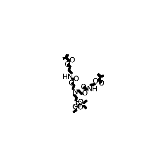 C=C(C)C(=O)OCCCNC(=O)OCCN(CCC[Si](OCC)(OCC)OCC)CCOC(=O)NCCOC(=O)C(=C)C